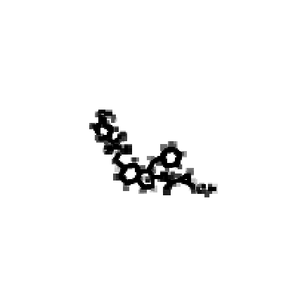 Cn1cnc(S(=O)(=O)NCc2ccc3c(c2)C(Cc2ccccc2)C(NC(=O)C2CC2C(=O)O)CC3)c1